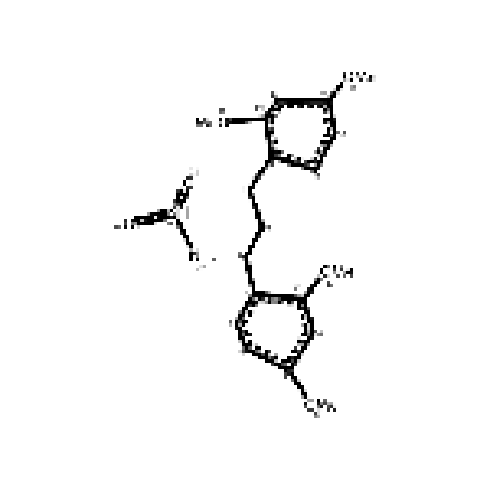 COc1ccc(CCCc2ccc(OC)cc2OC)c(OC)c1.N[SH](=O)=O